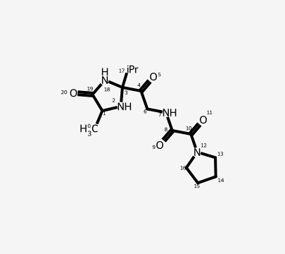 CC1NC(C(=O)CNC(=O)C(=O)N2CCCC2)(C(C)C)NC1=O